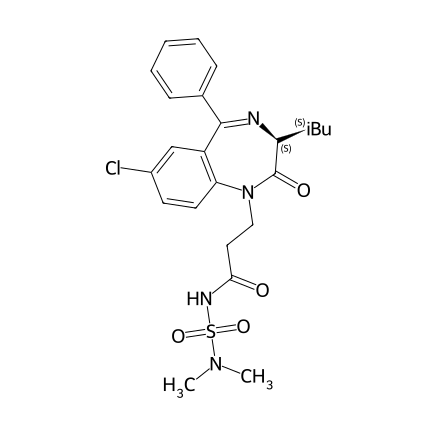 CC[C@H](C)[C@@H]1N=C(c2ccccc2)c2cc(Cl)ccc2N(CCC(=O)NS(=O)(=O)N(C)C)C1=O